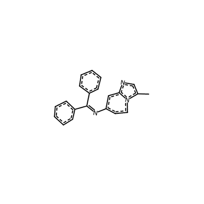 Cc1cnc2cc(N=C(c3ccccc3)c3ccccc3)ccn12